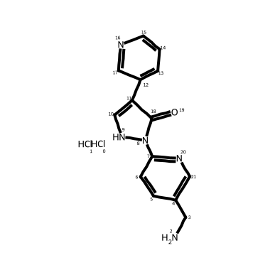 Cl.Cl.NCc1ccc(-n2[nH]cc(-c3cccnc3)c2=O)nc1